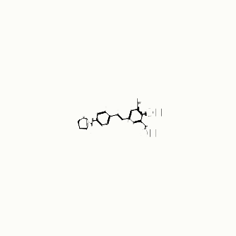 OCc1cc(C=Cc2ccc(N3CCCC3)cc2)cc(F)c1O